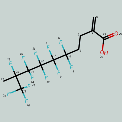 C=C(CCC(F)(F)C(F)(F)C(F)(F)C(F)(F)C(C)(F)C(F)(F)F)C(=O)O